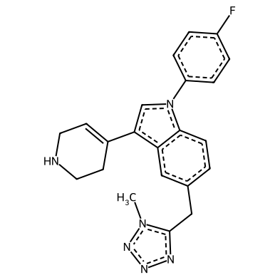 Cn1nnnc1Cc1ccc2c(c1)c(C1=CCNCC1)cn2-c1ccc(F)cc1